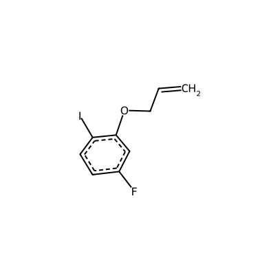 C=CCOc1cc(F)ccc1I